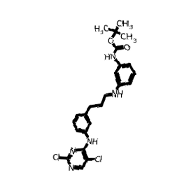 CC(C)(C)OC(=O)Nc1cccc(NCCCc2cccc(Nc3nc(Cl)ncc3Cl)c2)c1